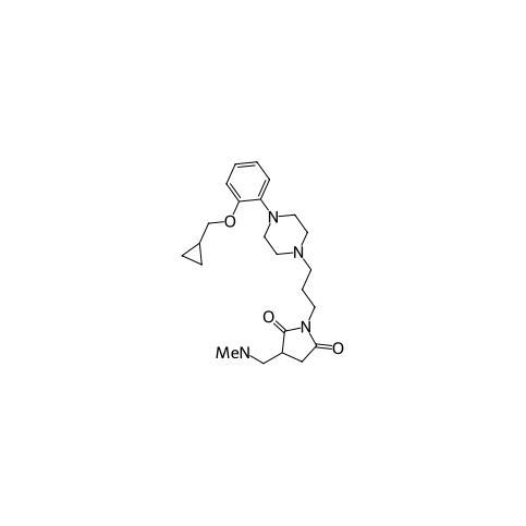 CNCC1CC(=O)N(CCCN2CCN(c3ccccc3OCC3CC3)CC2)C1=O